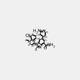 C=Nc1c(Cl)cccc1/C(=C\C)n1c(C)nc2c(C(N)=O)cc(-c3ccnc(N)c3)cc21